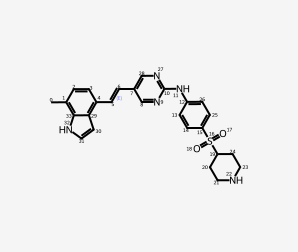 Cc1ccc(/C=C/c2cnc(Nc3ccc(S(=O)(=O)C4CCNCC4)cc3)nc2)c2cc[nH]c12